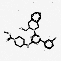 COC(=O)N1CCC(Nc2nc(-c3cccc(F)c3)nc(N3Cc4ccccc4C[C@@H]3CO)n2)CC1